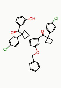 O=C(c1cccc(O)c1)C1(c2ccc(Cl)cc2)CCC1.O=C(c1cccc(OCc2ccccc2)c1)C1(c2ccc(Cl)cc2)CCC1